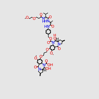 C=C1C[C@H]2[C@H](O)N(C(=O)O)c3cc(OCCCOc4cc5c(cc4OC)C(=O)N4CC(=C)C[C@H]4[C@H](O)N5C(=O)OCc4ccc(NC(=O)[C@H](C)NC(=O)[C@@H](NC(=O)CCOCCOC)C(C)C)cc4)c(OC)cc3C(=O)N2C1